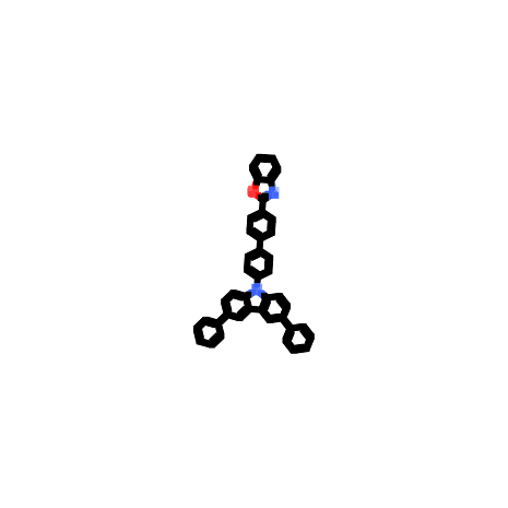 c1ccc(-c2ccc3c(c2)c2cc(-c4ccccc4)ccc2n3-c2ccc(-c3ccc(-c4nc5ccccc5o4)cc3)cc2)cc1